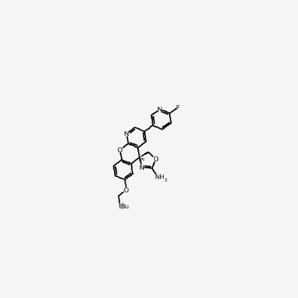 CC(C)(C)COc1ccc2c(c1)[C@]1(COC(N)=N1)c1cc(-c3ccc(F)nc3)cnc1O2